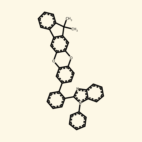 CC1(C)c2ccccc2-c2cc3c(cc21)Oc1ccc(-c2ccccc2-c2nc4ccccc4n2-c2ccccc2)cc1O3